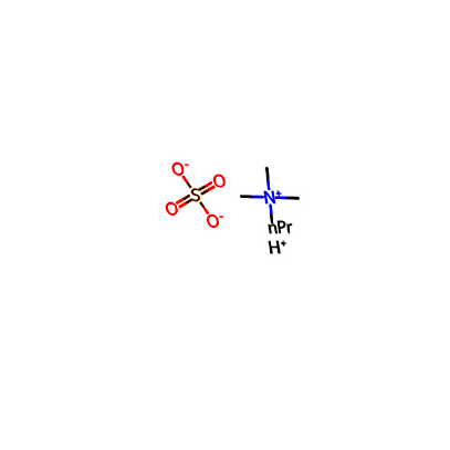 CCC[N+](C)(C)C.O=S(=O)([O-])[O-].[H+]